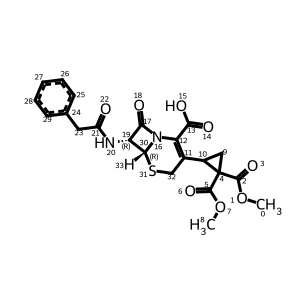 COC(=O)C1(C(=O)OC)CC1C1=C(C(=O)O)N2C(=O)[C@@H](NC(=O)Cc3ccccc3)[C@H]2SC1